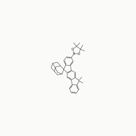 CC1(C)OB(c2ccc3c(c2)-c2cc4c(cc2C32C3CC5CC(C3)CC2C5)-c2ccccc2S4(C)C)OC1(C)C